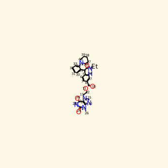 CCNC(=O)C(c1ccc(C(=O)OCCn2cnc3c2c(=O)n(C)c(=O)n3C)cc1)c1ccccc1N1CCCCC1